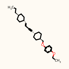 CCC[C@H]1CC[C@H](C=CC#C[C@H]2CC[C@H](COc3ccc(OCC)cc3)CC2)CC1